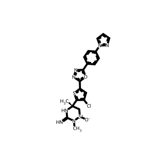 CN1C(=N)N[C@](C)(c2sc(-c3nnc(-c4ccc(-n5cccn5)cc4)o3)cc2Cl)C[S+]1[O-]